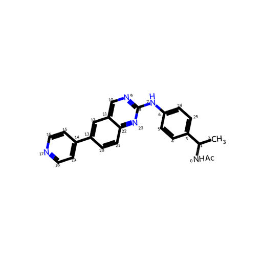 CC(=O)NC(C)c1ccc(Nc2ncc3cc(-c4ccncc4)ccc3n2)cc1